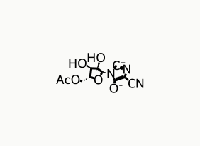 CC(=O)OC[C@H]1O[C@@H](N2[C+]=NC(C#N)=C2[O-])[C@H](O)[C@@H]1O